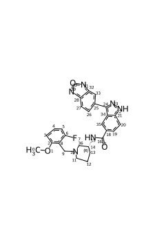 COc1cccc(F)c1CN1CCC[C@@H](NC(=O)c2ccc3[nH]nc(-c4ccc5nonc5c4)c3c2)C1